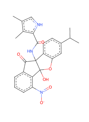 Cc1c[nH]c(C(=O)NC23C(=O)c4cccc([N+](=O)[O-])c4C2(O)Oc2cc(C(C)C)ccc23)c1C